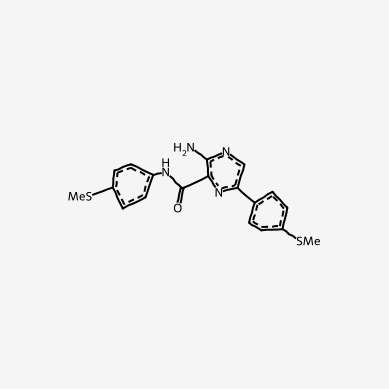 CSc1ccc(NC(=O)c2nc(-c3ccc(SC)cc3)cnc2N)cc1